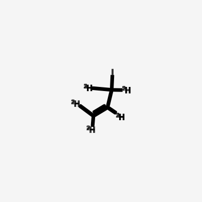 [2H]C([2H])=C([2H])C([2H])([2H])I